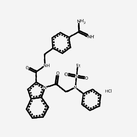 CCS(=O)(=O)N(CC(=O)n1c(C(=O)NCc2ccc(C(=N)N)cc2)cc2ccccc21)c1ccccc1.Cl